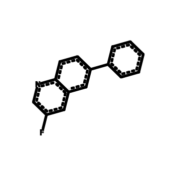 Fc1cnc2ccc(-c3ccccc3)cc2c1